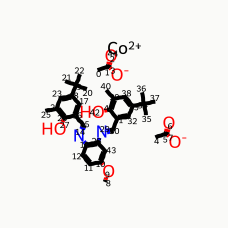 CC(=O)[O-].CC(=O)[O-].COc1ccc(N=Cc2cc(C(C)(C)C)cc(C)c2O)c(N=Cc2cc(C(C)(C)C)cc(C)c2O)c1.[Co+2]